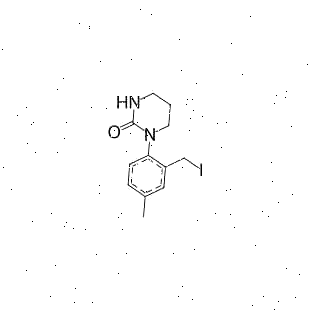 Cc1ccc(N2CCCNC2=O)c(CI)c1